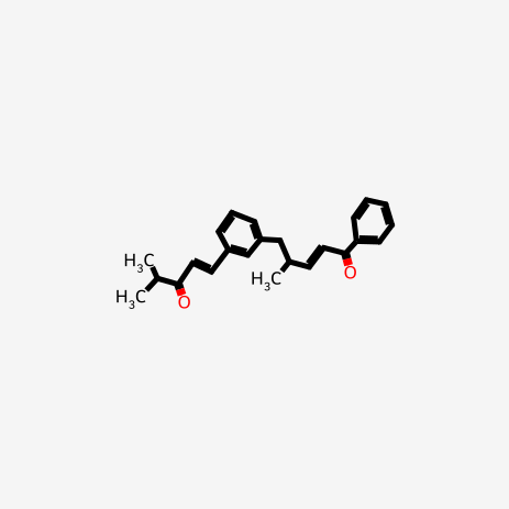 CC(/C=C/C(=O)c1ccccc1)Cc1cccc(/C=C/C(=O)C(C)C)c1